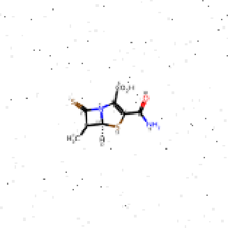 CC1C(=S)N2C(C(=O)O)=C(C(N)=O)S[C@@H]12